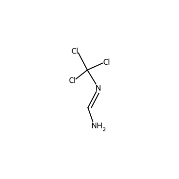 N/C=N/C(Cl)(Cl)Cl